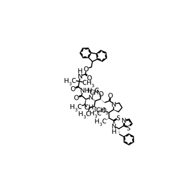 CC[C@H](C)[C@@H]([C@@H](CC(=O)N1CCC[C@H]1[C@H](OC)[C@@H](C)C(=S)N[C@@H](Cc1ccccc1)c1nccs1)OC)N(C)[C@H](C(=O)NC(=O)C(C)(C)NC(=O)OCC1c2ccccc2-c2ccccc21)C(C)C